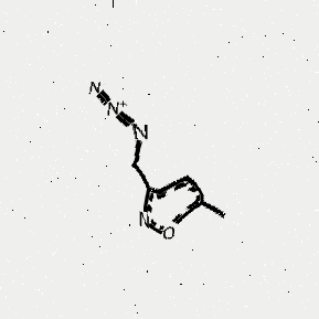 Cc1cc(CN=[N+]=[N-])no1